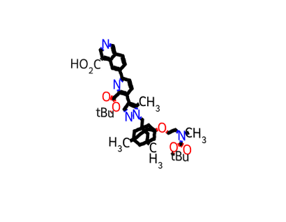 Cc1c(-c2ccc(-c3ccc4cncc(C(=O)O)c4c3)nc2C(=O)OC(C)(C)C)cnn1CC12CC3(C)CC(C)(C1)CC(OCCN(C)C(=O)OC(C)(C)C)(C3)C2